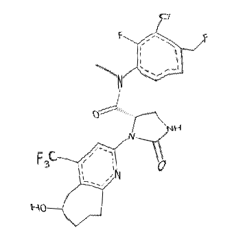 CN(C(=O)[C@@H]1CNC(=O)N1c1cc(C(F)(F)F)c2c(n1)CCC2O)c1ccc(F)c(Cl)c1F